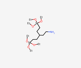 CCO[Si](CCC(CCN)CC[Si](OCC)(OCC)OCC)(OCC)OCC